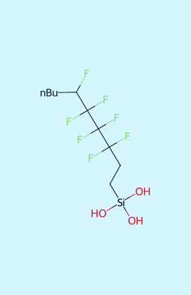 CCCCC(F)C(F)(F)C(F)(F)C(F)(F)CC[Si](O)(O)O